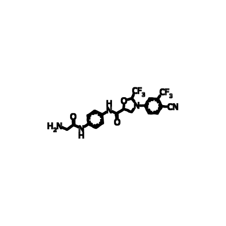 N#Cc1ccc(N2CC(C(=O)Nc3ccc(NC(=O)CN)cc3)OC2C(F)(F)F)cc1C(F)(F)F